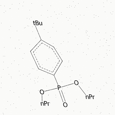 CCCOP(=O)(OCCC)c1ccc(C(C)(C)C)cc1